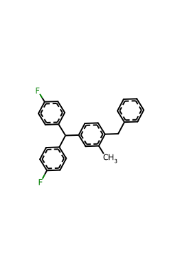 Cc1cc(C(c2ccc(F)cc2)c2ccc(F)cc2)ccc1Cc1ccccc1